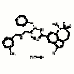 CCc1cn2c3c(cc(C(=O)N[C@@H](Cc4ccccc4)[C@H](O)CNCc4cccc(C)c4)cc13)N(C)S(=O)(=O)CC2.O=CO